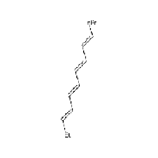 [CH2]CC/C=C/C=C/C=C/C=C/CC